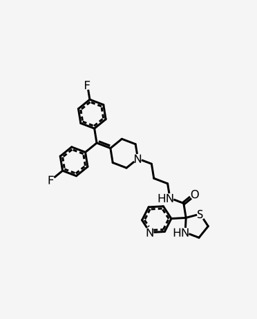 O=C(NCCCN1CCC(=C(c2ccc(F)cc2)c2ccc(F)cc2)CC1)C1(c2cccnc2)NCCS1